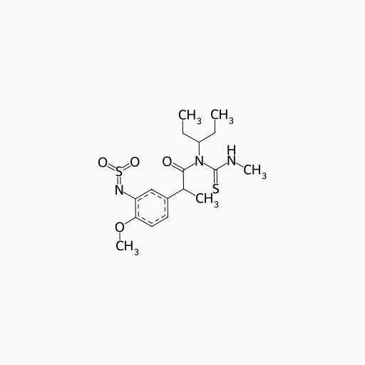 CCC(CC)N(C(=O)C(C)c1ccc(OC)c(N=S(=O)=O)c1)C(=S)NC